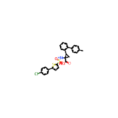 Cc1ccc(-c2ccccc2C2CC2(NS(=O)(=O)c2ccc(-c3ccc(Cl)cc3)s2)C(=O)O)cc1